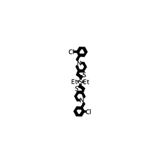 CCS(CC)(c1cc2c(s1)CCN(Cc1ccccc1Cl)C2)c1cc2c(s1)CCN(Cc1ccccc1Cl)C2